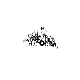 CCCOC(=O)C(C)(C)NP(=O)(CO[C@H](C)Cn1cnc2c(N)ncnc21)N[C@H](C)c1ccc(OC)cc1